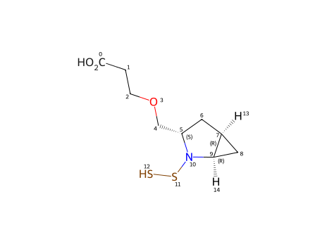 O=C(O)CCOC[C@@H]1C[C@H]2C[C@H]2N1SS